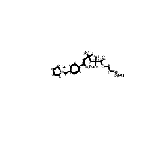 CC(N)(CC(c1ccc(C[N+]2(C)CCCC2)cc1)C(C)(C)C)CC(C)(C)C(=O)OCCOC(C)(C)C